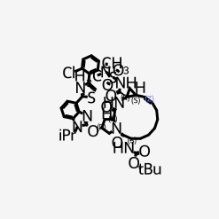 CC(C)n1c(O[C@@H]2C[C@H]3C(=O)N[C@]4(C(=O)NS(=O)(=O)N(C)C)C[C@H]4/C=C\CCCCC[C@H](NC(=O)OC(C)(C)C)C(=O)N3C2)nc2c(-c3nc(-c4ccccc4Cl)cs3)cccc21